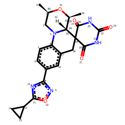 C[C@@H]1CN2c3ccc(-c4noc(C5CC5)n4)cc3CC3(C(=O)NC(=O)NC3=O)[C@H]2[C@H](C)O1